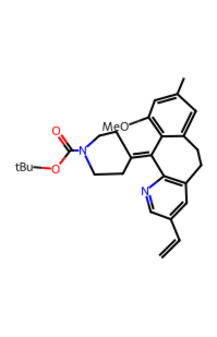 C=Cc1cnc2c(c1)CCc1cc(C)cc(OC)c1C2=C1CCN(C(=O)OC(C)(C)C)CC1